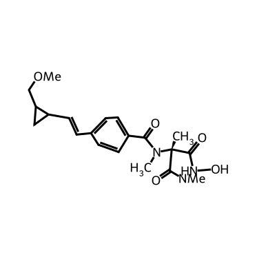 CNC(=O)[C@@](C)(C(=O)NO)N(C)C(=O)c1ccc(/C=C/C2CC2COC)cc1